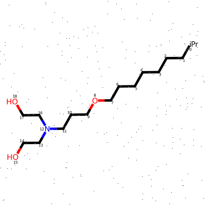 CC(C)CCCCCCCOCCCN(CCO)CCO